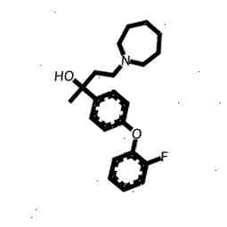 CC(O)(CCN1CCCCCC1)c1ccc(Oc2ccccc2F)cc1